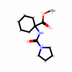 CC(C)(C)OC(=O)C1(NC(=O)N2CCCC2)CCCCC1